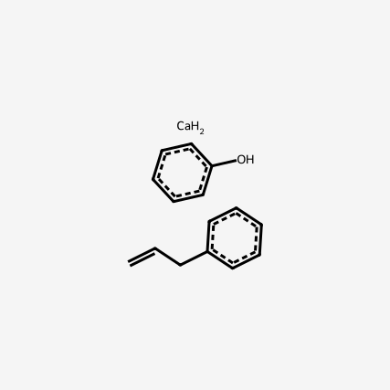 C=CCc1ccccc1.Oc1ccccc1.[CaH2]